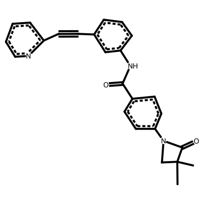 CC1(C)CN(c2ccc(C(=O)Nc3cccc(C#Cc4ccccn4)c3)cc2)C1=O